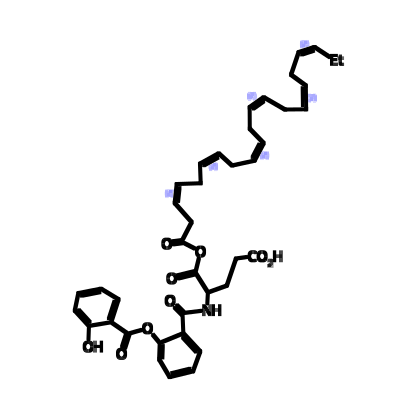 CC/C=C\C/C=C\C/C=C\C/C=C\C/C=C\C/C=C\CC(=O)OC(=O)C(CCC(=O)O)NC(=O)c1ccccc1OC(=O)c1ccccc1O